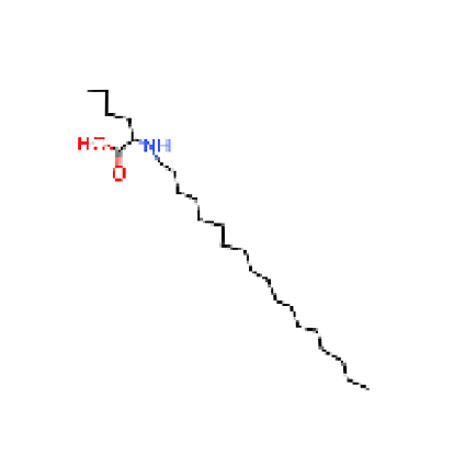 CCCCCCCCCCCCCCCCCCNC(CCCC)C(=O)O